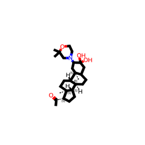 CC(=O)[C@H]1CC[C@H]2[C@@H]3CCC4CC(O)(O)C(N5CCOC(C)(C)C5)C[C@]4(C)[C@H]3CC[C@]12C